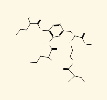 CCCC(C)C(=O)Oc1ccc(C[C@H](NCCOC(=O)C(C)CC)C(=O)OC)cc1OC(=O)C(C)CCC